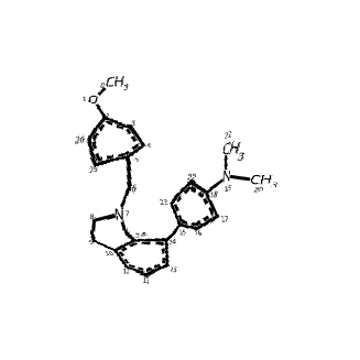 COc1ccc(CN2CCc3cccc(-c4ccc(N(C)C)cc4)c32)cc1